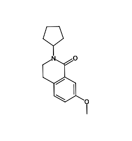 COc1ccc2c(c1)C(=O)N(C1CCCC1)CC2